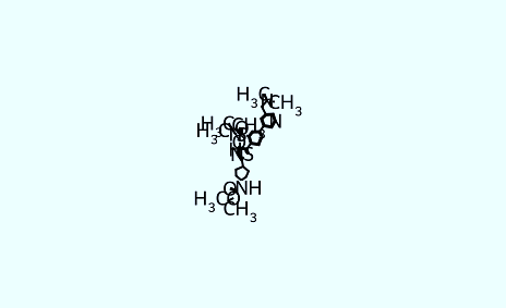 CC(C)OC(=O)NC1CCC(c2ncc(-c3ccc(-c4cncc(CN(C)C)c4)cc3S(=O)(=O)NC(C)(C)C)s2)CC1